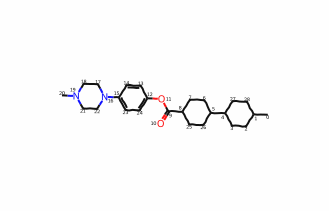 CC1CCC(C2CCC(C(=O)Oc3ccc(N4CCN(C)CC4)cc3)CC2)CC1